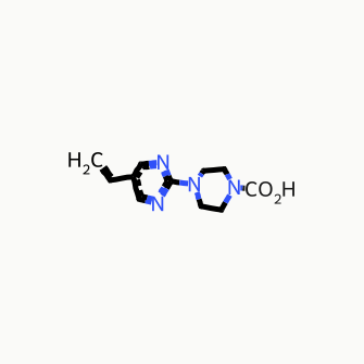 C=Cc1cnc(N2CCN(C(=O)O)CC2)nc1